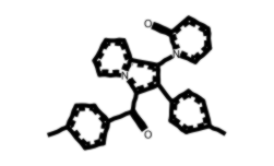 Cc1ccc(C(=O)c2c(-c3ccc(C)cc3)c(-n3ccccc3=O)c3ccccn23)cc1